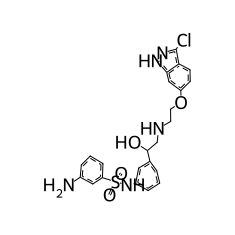 Nc1cccc(S(=O)(=O)Nc2cccc(C(O)CNCCOc3ccc4c(Cl)n[nH]c4c3)c2)c1